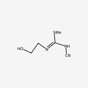 CS/C(=N\CCO)NC#N